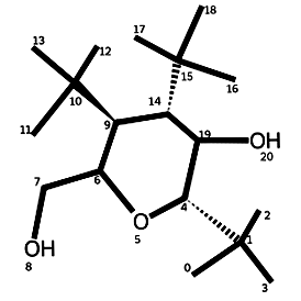 CC(C)(C)[C@@H]1OC(CO)[C@@H](C(C)(C)C)[C@H](C(C)(C)C)C1O